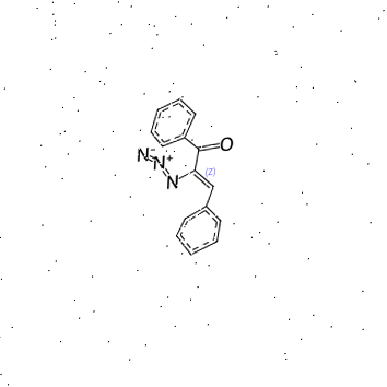 [N-]=[N+]=N/C(=C\c1ccccc1)C(=O)c1ccccc1